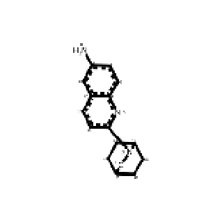 Nc1ccc2nc(N3CC4CCC3CC4)ccc2c1